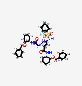 O=C(Cn1nc(NS(=O)(=O)c2ccc(F)cc2F)cc1C(=O)N[C@H]1CCCC[C@@H]1OCc1ccccc1)N[C@H]1CCCC[C@@H]1OCc1ccccc1